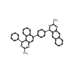 Cc1nc(-c2ccc(-c3cc4nc(C)nc(-c5ccccc5)c4c4ccccc34)cc2)c2cc3ccccc3cc2n1